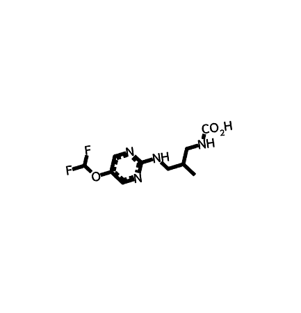 CC(CNC(=O)O)CNc1ncc(OC(F)F)cn1